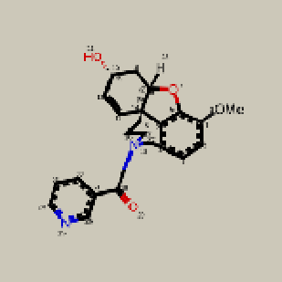 COc1ccc2c3c1O[C@H]1C[C@@H](O)C=C[C@@]31CCCN(C(=O)c1cccnc1)C2